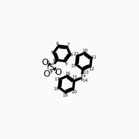 O=S(=O)([O-])c1ccccc1.c1ccc([I+]c2ccccc2)cc1